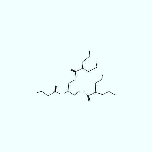 CCCC(=O)OC(COC(=O)C(CCC)CCC)COC(=O)C(CCC)CCC